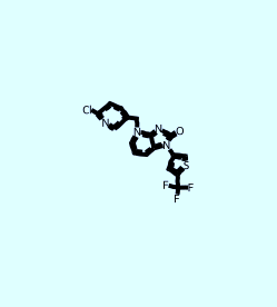 O=c1nc2n(Cc3ccc(Cl)nc3)cccc-2n1-c1csc(C(F)(F)F)c1